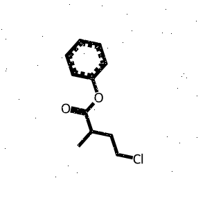 CC(CCCl)C(=O)Oc1ccccc1